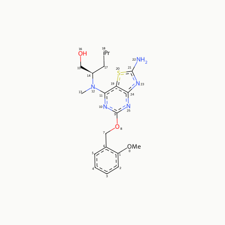 COc1ccccc1COc1nc(N(C)[C@@H](CO)CC(C)C)c2sc(N)nc2n1